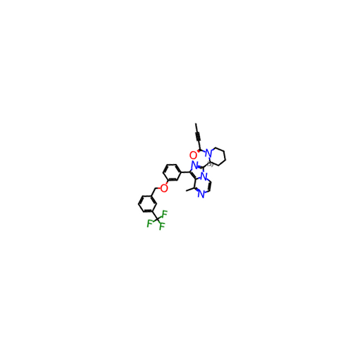 CC#CC(=O)N1CCCC[C@H]1c1nc(-c2cccc(OCc3cccc(C(F)(F)F)c3)c2)c2c(C)nccn12